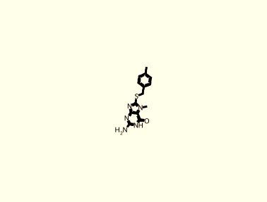 Cc1ccc(CSc2nc3nc(N)[nH]c(=O)c3n2C)cc1